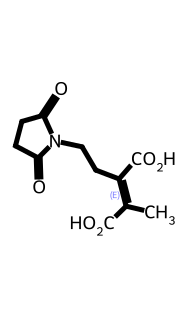 C/C(C(=O)O)=C(/CCN1C(=O)CCC1=O)C(=O)O